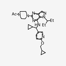 CCC(CC)n1ncc2nc(N3CCN(C(C)=O)CC3)nc(NC(c3ccc(OCC4CC4)nc3)C3CC3)c21